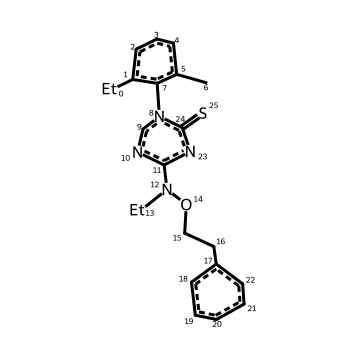 CCc1cccc(C)c1-n1cnc(N(CC)OCCc2ccccc2)nc1=S